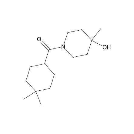 CC1(C)CCC(C(=O)N2CCC(C)(O)CC2)CC1